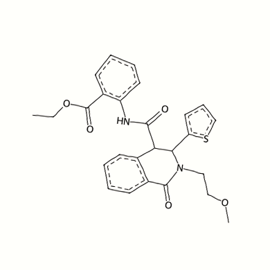 CCOC(=O)c1ccccc1NC(=O)C1c2ccccc2C(=O)N(CCOC)C1c1cccs1